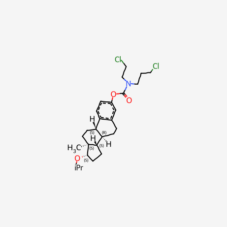 CC(C)O[C@H]1CC[C@H]2[C@@H]3CCc4cc(OC(=O)N(CCCl)CCCCl)ccc4[C@H]3CC[C@]12C